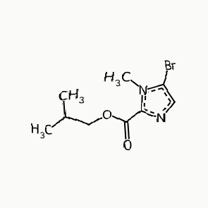 CC(C)COC(=O)c1ncc(Br)n1C